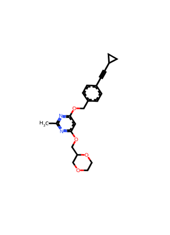 Cc1nc(OCc2ccc(C#CC3CC3)cc2)cc(OCC2COCCO2)n1